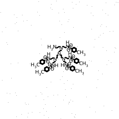 Cc1ccc(S(=O)(=O)NCCN(CCN)CCN(CCN(CCNS(=O)(=O)c2ccc(C)cc2)CCNS(=O)(=O)c2ccc(C)cc2)CCN(CCNS(=O)(=O)c2ccc(C)cc2)CCNS(=O)(=O)c2ccc(C)cc2)cc1